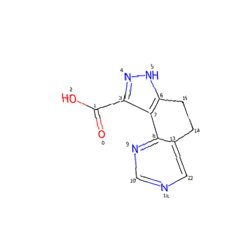 O=C(O)c1n[nH]c2c1-c1ncncc1CC2